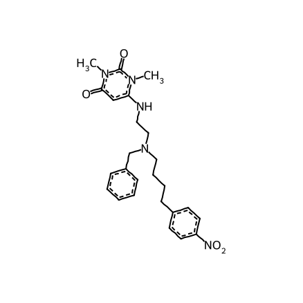 Cn1c(NCCN(CCCCc2ccc([N+](=O)[O-])cc2)Cc2ccccc2)cc(=O)n(C)c1=O